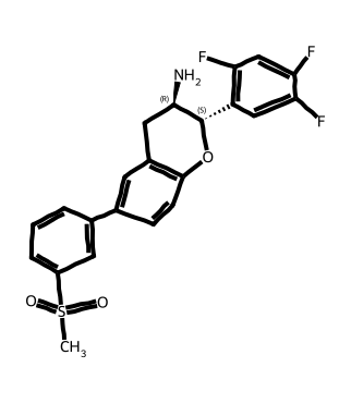 CS(=O)(=O)c1cccc(-c2ccc3c(c2)C[C@@H](N)[C@H](c2cc(F)c(F)cc2F)O3)c1